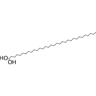 CCCCCCCCCCCCCCCCCCCCCCCCCCCCCCCC(O)O